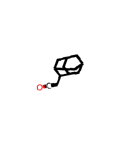 O=C=CC1C2CC3CC(C2)CC1C3